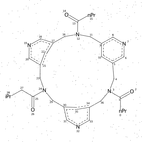 CCCC(=O)N1Cc2cncc(c2)CN(C(=O)CCC)Cc2cncc(c2)CN(C(=O)CC(C)C)Cc2cncc(c2)C1